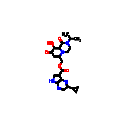 CC(C)N1CCn2c(COC(=O)c3c[nH]c4ncc(C5CC5)nc34)cc(=O)c(O)c2C1=O